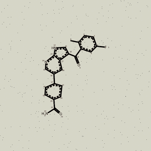 Cc1ccc(F)cc1C(=O)c1c[nH]c2ncc(-c3ccc(C(N)=O)cc3)cc12